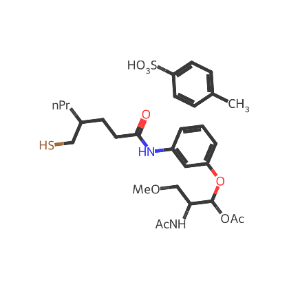 CCCC(CS)CCC(=O)Nc1cccc(OC(OC(C)=O)C(COC)NC(C)=O)c1.Cc1ccc(S(=O)(=O)O)cc1